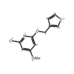 COc1cc(Cl)nc(OCc2ccsc2)c1